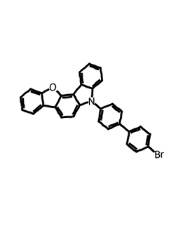 Brc1ccc(-c2ccc(-n3c4ccccc4c4c5oc6ccccc6c5ccc43)cc2)cc1